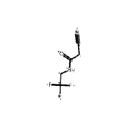 N#CCC(=O)NCC(F)(F)F